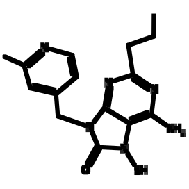 CCCc1nc(N)c2c(n1)n(Cc1ccnc(C)c1)c(=O)n2S